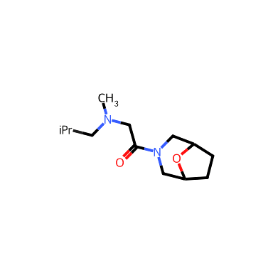 CC(C)CN(C)CC(=O)N1CC2CCC(C1)O2